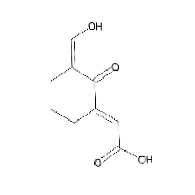 O=C(O)C=C1CCCC(=CO)C1=O